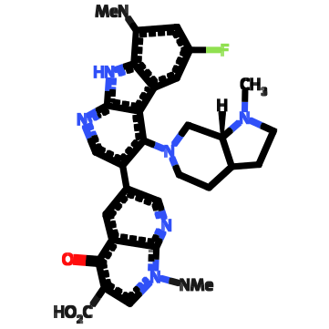 CNc1cc(F)cc2c1[nH]c1ncc(-c3cnc4c(c3)c(=O)c(C(=O)O)cn4NC)c(N3CCC4CCN(C)[C@H]4C3)c12